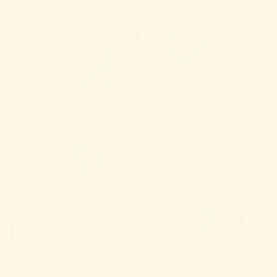 COCCCc1ccc(C)cc1OCC(C)(C)COCC(C)(C)COC